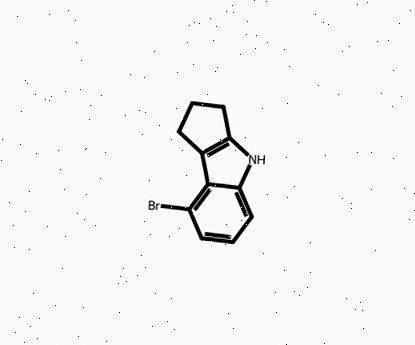 Brc1cccc2[nH]c3c(c12)CCC3